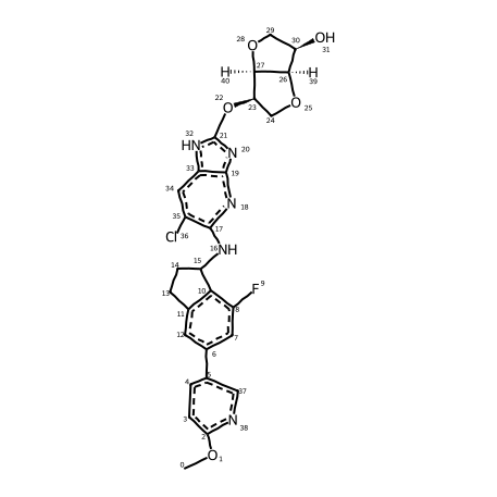 COc1ccc(-c2cc(F)c3c(c2)CCC3Nc2nc3nc(O[C@@H]4CO[C@H]5[C@@H]4OC[C@H]5O)[nH]c3cc2Cl)cn1